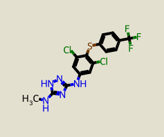 CNc1nc(Nc2cc(Cl)c(Sc3ccc(C(F)(F)F)cc3)c(Cl)c2)n[nH]1